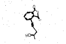 CC(O)CC#Cc1cccc2c1C(=O)OC2=O